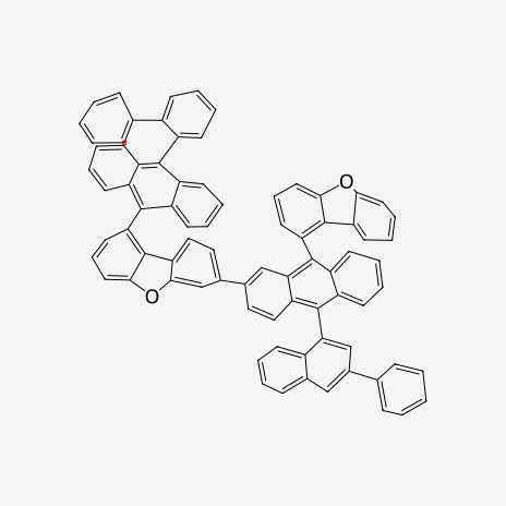 c1ccc(-c2cc(-c3c4ccccc4c(-c4cccc5oc6ccccc6c45)c4cc(-c5ccc6c(c5)oc5cccc(-c7c8ccccc8c(-c8ccccc8-c8ccccc8)c8ccccc78)c56)ccc34)c3ccccc3c2)cc1